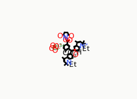 CCN1c2cc3c(cc2C(C)=CC1(C)C)C(c1cc(C(=O)ON2C(=O)CCC2=O)ccc1C(=O)O)=c1cc2c(cc1O3)=[N+](CC)C(C)(C)C=C2C.[O-][Cl+3]([O-])([O-])[O-]